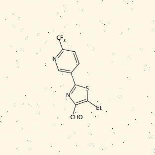 CCc1sc(-c2ccc(C(F)(F)F)nc2)nc1C=O